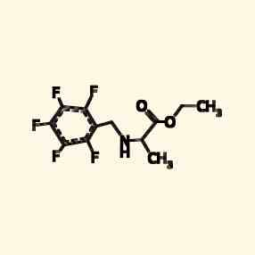 CCOC(=O)C(C)NCc1c(F)c(F)c(F)c(F)c1F